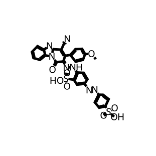 COc1ccc(C2=C(C#N)c3nc4ccccc4n3C(=O)/C2=N/Nc2ccc(/N=N/c3ccc(S(=O)(=O)O)cc3)cc2S(=O)(=O)O)cc1